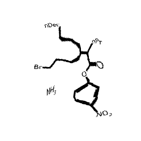 CCCCCCCCCCCCC(CCCBr)C(CCC)C(=O)Oc1ccc([N+](=O)[O-])cc1.N